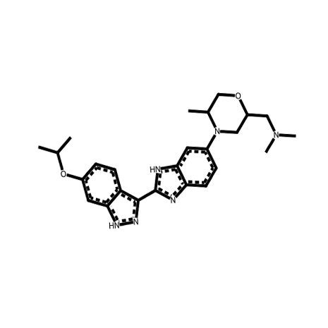 CC(C)Oc1ccc2c(-c3nc4ccc(N5CC(CN(C)C)OCC5C)cc4[nH]3)n[nH]c2c1